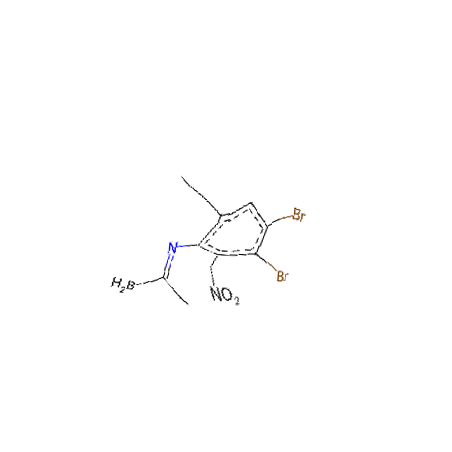 B/C(C)=N/c1c(C)cc(Br)c(Br)c1[N+](=O)[O-]